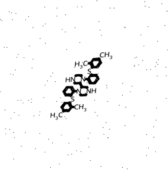 Cc1ccc(Sc2ccccc2N2CCNCC2C2CNCCN2c2ccccc2Sc2ccc(C)cc2C)c(C)c1